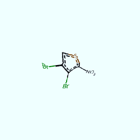 O=[N+]([O-])c1scc(Br)c1Br